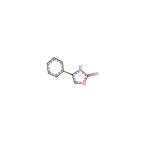 O=c1[nH]c(-c2ccccc2)co1